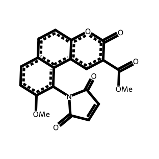 COC(=O)c1cc2c(ccc3ccc(OC)c(N4C(=O)C=CC4=O)c32)oc1=O